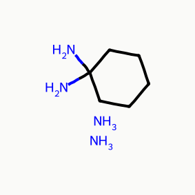 N.N.NC1(N)CCCCC1